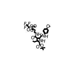 CCc1c(C(=O)OC(C)(C)C)[nH]c(CNc2ccc(OC)cc2)c1C(=O)NCCS(=O)(=O)OC(=O)C(F)(F)F